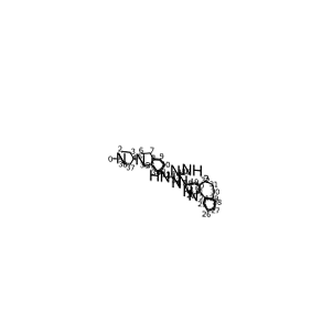 CN1CCC(N2CCc3ccc(Nc4nc(N)n(-c5cc6c(nn5)-c5ccccc5CCC6)n4)cc3C2)CC1